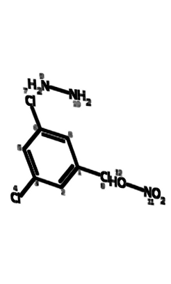 Clc1cc(Cl)cc(Cl)c1.NN.O=[N+]([O-])O